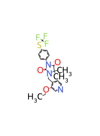 CCOc1cnccc1CN1C(=O)N(c2ccc(SC(F)(F)F)cc2)C(=O)C1(C)C